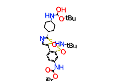 CC(C)OC(=O)Nc1ccc(-c2cnc([C@H]3CC[C@H](NC(O)OC(C)(C)C)CC3)s2)c(S(=O)(=O)NC(C)(C)C)c1